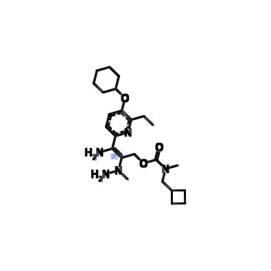 CCc1nc(/C(N)=C(\COC(=O)N(C)CC2CCC2)N(C)N)ccc1OC1CCCCC1